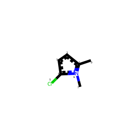 Cc1ccc(Cl)n1C